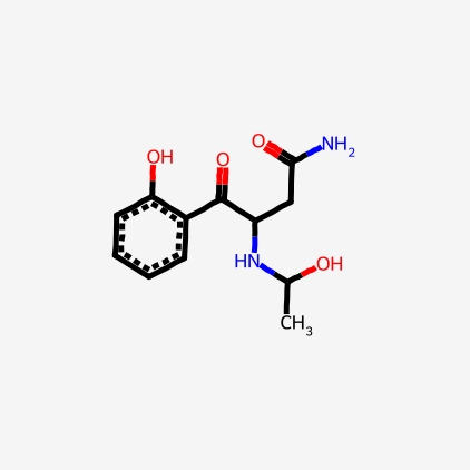 CC(O)NC(CC(N)=O)C(=O)c1ccccc1O